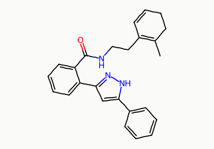 CC1=C(CCNC(=O)c2ccccc2-c2cc(-c3ccccc3)[nH]n2)C=CCC1